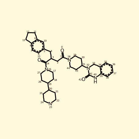 O=C(CC(Cc1ccc2c(c1)CCC2)C(=O)N1CCC(C2CC[N]CC2)CC1)N1CCC(N2Cc3ccccc3NC2=O)CC1